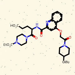 CCOC(=O)N1CCN(C(=O)C(CCC(=O)O)NC(=O)c2cc(OCC(=O)N3CCC(OCC(C)C)CC3)c3ccccc3n2)CC1